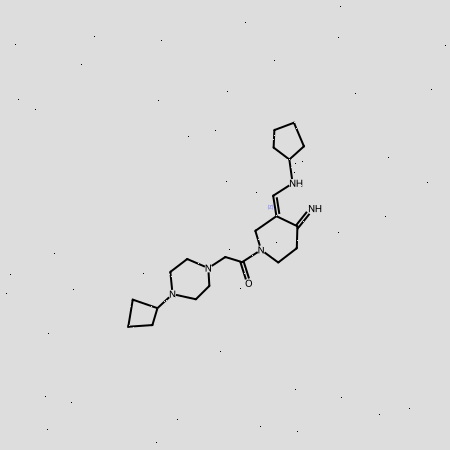 N=C1CCN(C(=O)CN2CCN(C3CCC3)CC2)C/C1=C/NC1CCCC1